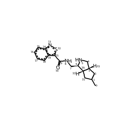 CC1C[C@H]2CN[C@H](CNC(=O)c3snc4ccccc34)[C@H]2C1